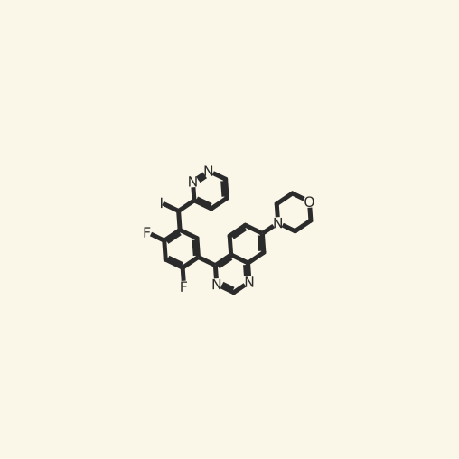 Fc1cc(F)c(C(I)c2cccnn2)cc1-c1ncnc2cc(N3CCOCC3)ccc12